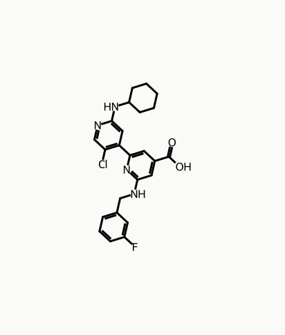 O=C(O)c1cc(NCc2cccc(F)c2)nc(-c2cc(NC3CCCCC3)ncc2Cl)c1